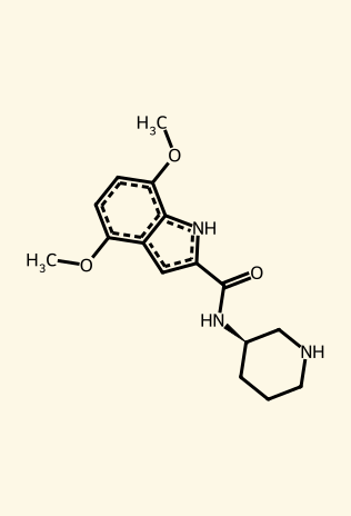 COc1ccc(OC)c2[nH]c(C(=O)N[C@@H]3CCCNC3)cc12